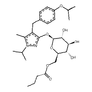 CCCC(=O)OC[C@H]1O[C@@H](Oc2nn(C(C)C)c(C)c2Cc2ccc(OC(C)C)cc2)[C@H](O)[C@@H](O)[C@@H]1O